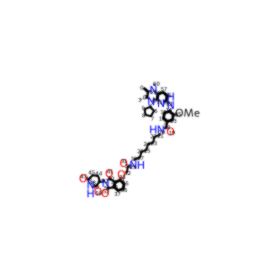 C=C1[C@@H](C)N(C2CCCC2)c2nc(Nc3ccc(C(=O)NCCCCCCCCNC(=O)COc4cccc5c4C(=O)N(C4CCC(=O)NC4=O)C5=O)cc3OC)ccc2N1C